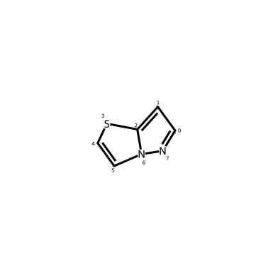 [c]1cc2sccn2n1